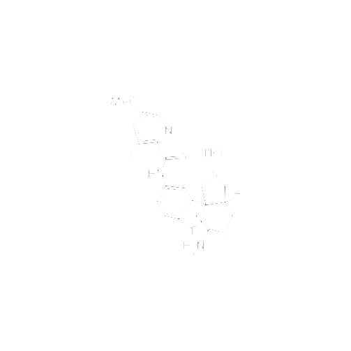 COc1cnc(C(=O)Nc2ccc(F)c(C34COCC3(F)CSC(N)=N4)c2)c(F)c1.Cl